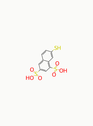 O=S(=O)(O)c1cc(S(=O)(=O)O)c2cc(S)ccc2c1